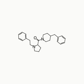 O=C(C1CCCN1CCc1ccccc1)N1CCC(Cc2ccccc2)CC1